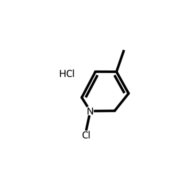 CC1=CCN(Cl)C=C1.Cl